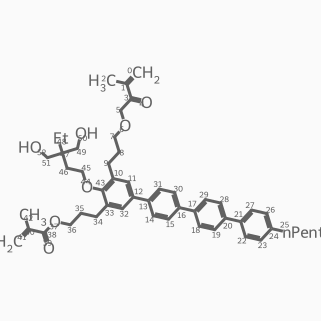 C=C(C)C(=O)COCCCc1cc(-c2ccc(-c3ccc(-c4ccc(CCCCC)cc4)cc3)cc2)cc(CCCOC(=O)C(=C)C)c1OCCC(CC)(CO)CO